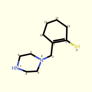 SC1=C(CN2CCNCC2)CCCC1